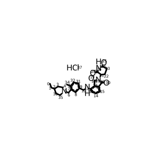 CCC1CCN(Cc2cc(CNc3cccc4c3C(=O)N(C3CCC(=O)NC3=O)C4=O)ccc2C)CC1.Cl